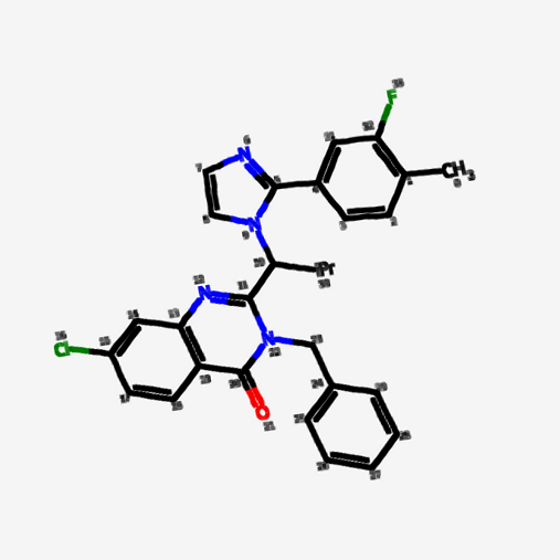 Cc1ccc(-c2nccn2C(c2nc3cc(Cl)ccc3c(=O)n2Cc2ccccc2)C(C)C)cc1F